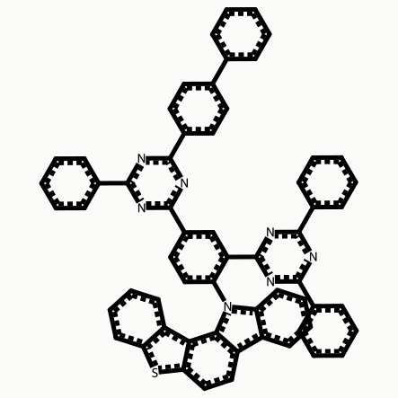 c1ccc(-c2ccc(-c3nc(-c4ccccc4)nc(-c4ccc(-n5c6ccccc6c6ccc7sc8ccccc8c7c65)c(-c5nc(-c6ccccc6)nc(-c6ccccc6)n5)c4)n3)cc2)cc1